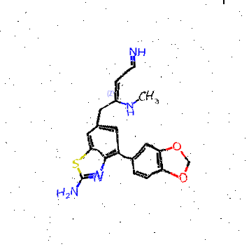 CN/C(=C\C=N)Cc1cc(-c2ccc3c(c2)OCO3)c2nc(N)sc2c1